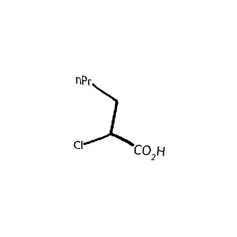 CCCCC(Cl)C(=O)O